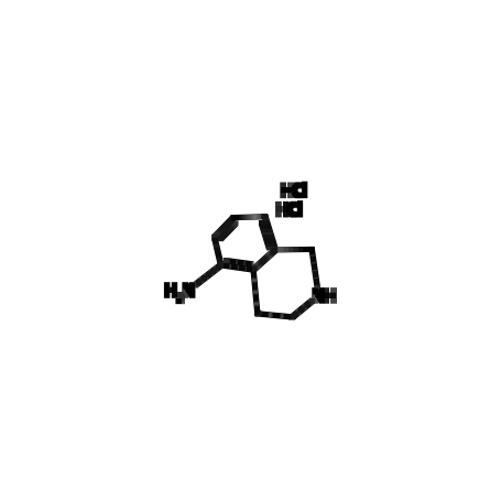 Cl.Cl.Nc1cccc2c1CCNC2